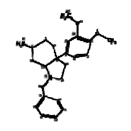 COc1ccc(C23CCC(N)CC2N(Cc2ccccc2)CC3)cc1OC